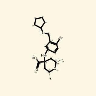 C[C@@H]1CC(Nc2ccc(Br)c(COC3CCCC3)c2)(C(=O)O)C[C@H](C)O1